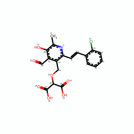 Cc1nc(/C=C/c2ccccc2Cl)c(COC(C(=O)O)C(=O)O)c(C=O)c1O